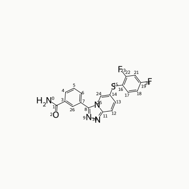 NC(=O)c1cccc(-c2nnc3ccc(Sc4ccc(F)cc4F)cn23)c1